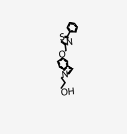 OCCCn1ccc2cc(OCc3csc(-c4ccccc4)n3)ccc21